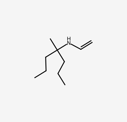 C=CNC(C)(CCC)CCC